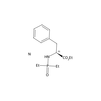 CCOC(=O)[C@H](Cc1ccccc1)NP(=O)(CC)CC.[N]